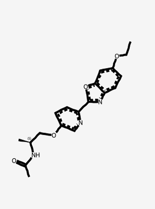 CCOc1ccc2nc(-c3ccc(OC[C@H](C)NC(C)=O)cn3)oc2c1